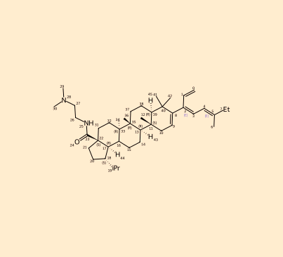 C=C/C(=C\C=C(/C)CC)C1=CC[C@]2(C)[C@H]3CCC4[C@H]5[C@H](C(C)C)CC[C@]5(C(=O)NCCN(C)C)CC[C@@]4(C)[C@]3(C)CC[C@H]2C1(C)C